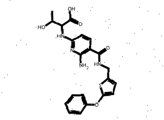 CC(O)C(Nc1ccc(C(=O)NCc2ccc(Oc3ccccc3)s2)c(N)n1)C(=O)O